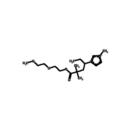 CCC(CC(C)(C)C(=O)OCCOCCOC)n1cc[n+](C)c1